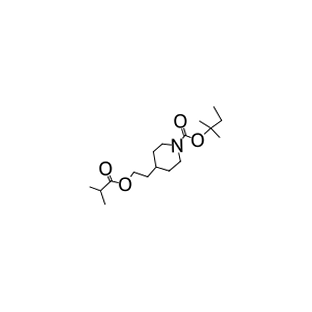 CCC(C)(C)OC(=O)N1CCC(CCOC(=O)C(C)C)CC1